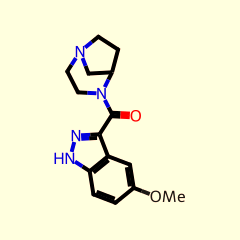 COc1ccc2[nH]nc(C(=O)N3CCN4CCC3C4)c2c1